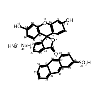 O=C1OC2(c3ccc(O)cc3Oc3cc(O)ccc32)c2ccccc21.O=S(=O)(O)c1ccc2cc3ccccc3cc2c1.[NaH].[NaH]